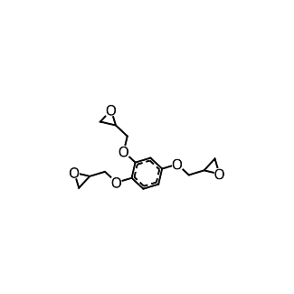 c1cc(OCC2CO2)c(OCC2CO2)cc1OCC1CO1